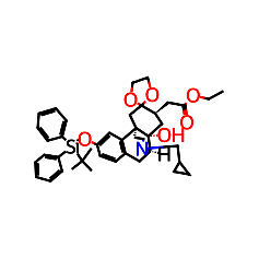 CCOC(=O)C[C@H]1C[C@@]2(O)[C@H]3Cc4ccc(O[Si](c5ccccc5)(c5ccccc5)C(C)(C)C)cc4[C@@]2(CCN3CC2CC2)CC12OCCO2